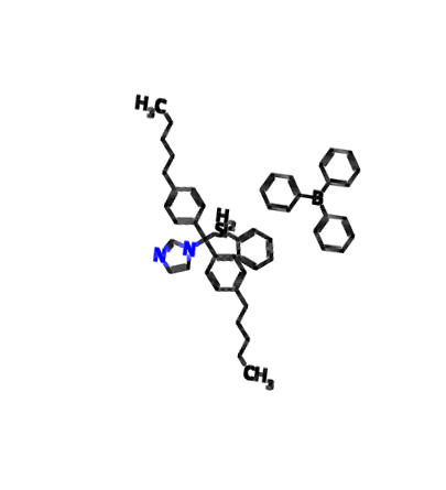 CCCCCc1ccc(C([SiH2]c2ccccc2)(c2ccc(CCCCC)cc2)n2ccnc2)cc1.c1ccc(B(c2ccccc2)c2ccccc2)cc1